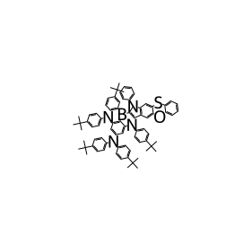 CC(C)(C)c1ccc(N(c2ccc(C(C)(C)C)cc2)c2cc3c4c(c2)N(c2ccc(C(C)(C)C)cc2)c2c(n(-c5ccccc5)c5cc6c(cc25)Oc2ccccc2S6)B4c2cc(C(C)(C)C)ccc2N3c2ccc(C(C)(C)C)cc2)cc1